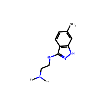 CCN(CC)CCNc1n[nH]c2cc([N+](=O)[O-])ccc12